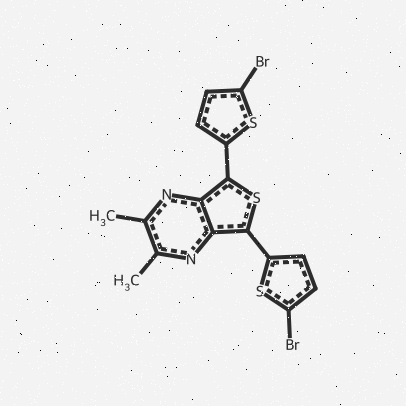 Cc1nc2c(-c3ccc(Br)s3)sc(-c3ccc(Br)s3)c2nc1C